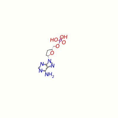 Nc1ncnc2c1ncn2[C@@H]1CC[C@H](COP(=O)(O)O)O1